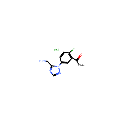 COC(=O)c1cc(-n2ncnc2CN)ccc1Cl.Cl